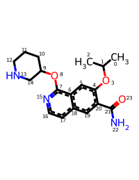 CC(C)Oc1cc2c(OC3CCCNC3)nccc2cc1C(N)=O